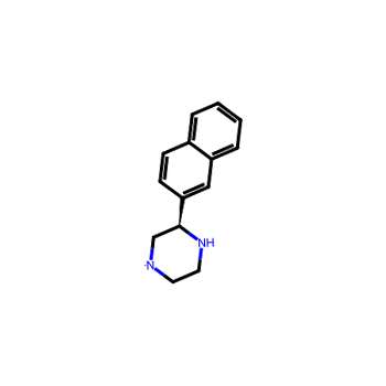 c1ccc2cc([C@@H]3C[N]CCN3)ccc2c1